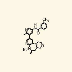 C=C1CC2COCCN2c2cc(-c3cc(NC(=O)c4cccc(C(F)(F)F)c4)cnc3C)cnc2N1CC